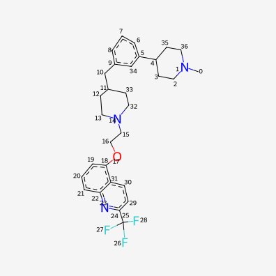 CN1CCC(c2cccc(CC3CCN(CCOc4cccc5nc(C(F)(F)F)ccc45)CC3)c2)CC1